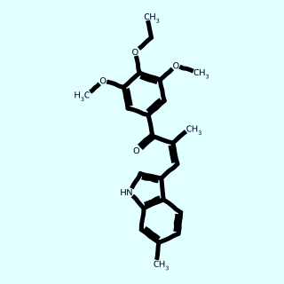 CCOc1c(OC)cc(C(=O)C(C)=Cc2c[nH]c3cc(C)ccc23)cc1OC